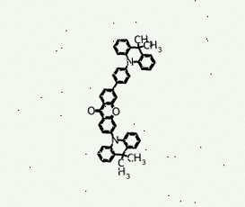 CC1(C)c2ccccc2N(c2ccc(-c3ccc4c(=O)c5ccc(N6c7ccccc7C(C)(C)c7ccccc76)cc5oc4c3)cc2)c2ccccc21